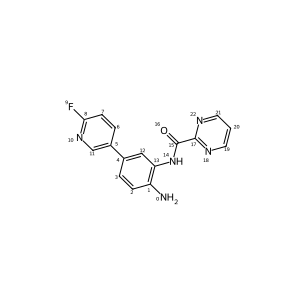 Nc1ccc(-c2ccc(F)nc2)cc1NC(=O)c1ncccn1